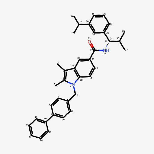 Cc1c(C)n(Cc2ccc(-c3ccccc3)cc2)c2ccc(C(=O)N[C@H](c3cccc(C(C)C)c3)C(C)C)cc12